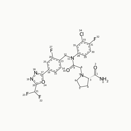 NC(=O)[C@@H]1CCCN1CC(=O)N(Cc1ccc(-c2nnc(C(F)F)o2)cc1F)c1ccc(F)c(Cl)c1